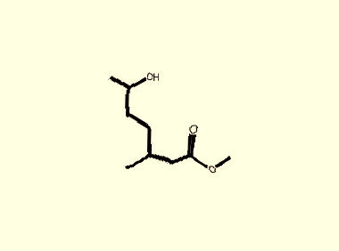 COC(=O)CC(C)CCC(C)O